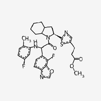 COC(=O)CCc1cnc([C@@H]2CC3CCCCC3N2C(=O)C(Nc2cc(F)ccc2C)c2ccc3ncoc3c2F)s1